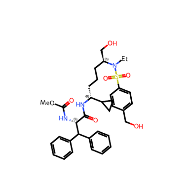 CCN([C@H](CO)CCC[C@@H](NC(=O)[C@@H](NC(=O)OC)C(c1ccccc1)c1ccccc1)C1CC1)S(=O)(=O)c1ccc(CO)cc1